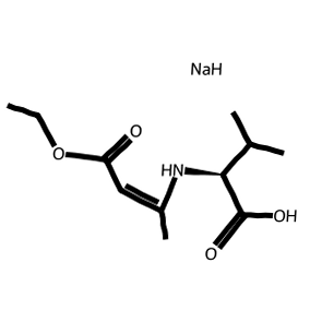 CCOC(=O)C=C(C)N[C@H](C(=O)O)C(C)C.[NaH]